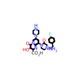 NCc1ccc(F)cc1.O=C(O)c1nc2c(N3CCNCC3=O)cc(N3CCNCC3)cn2c(=O)c1O